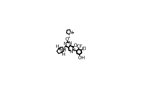 CN1CCC[C@H]1COc1nc(N2C[C@H]3CC[C@@H](C2)N3)c2cnn(-c3cc(O)cc(Cl)c3C(F)(F)F)c(=O)c2n1